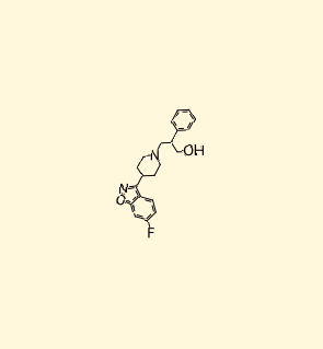 OCC(CN1CCC(c2noc3cc(F)ccc23)CC1)c1ccccc1